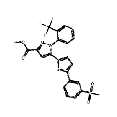 COC(=O)c1cc(-c2ccc(-c3cccc(S(C)(=O)=O)c3)s2)n(-c2ccccc2C(F)(F)F)n1